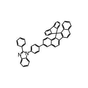 c1ccc(-c2nc3ccccc3n2-c2ccc(-c3ccc4c5c(ccc4c3)-c3ccc4ccccc4c3C53c4ccccc4-c4ccccc43)cc2)cc1